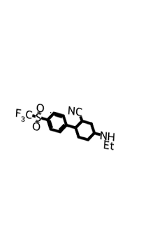 CCNC1CCC(c2c[c]c(S(=O)(=O)C(F)(F)F)cc2)C(C#N)C1